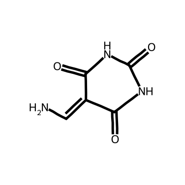 NC=C1C(=O)NC(=O)NC1=O